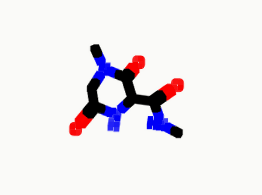 CNC(=O)C1NC(=O)CN(C)C1=O